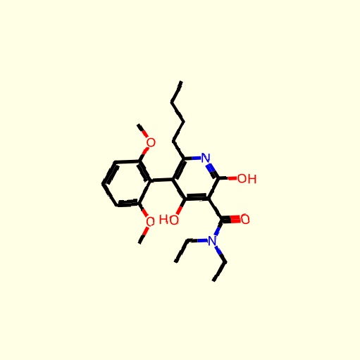 CCCCc1nc(O)c(C(=O)N(CC)CC)c(O)c1-c1c(OC)cccc1OC